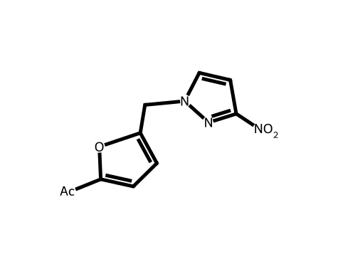 CC(=O)c1ccc(Cn2ccc([N+](=O)[O-])n2)o1